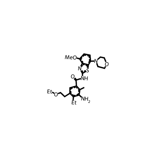 CCOCCc1cc(C(=O)Nc2nc3c(OC)ccc(N4CCOCC4)c3s2)c(C)c(N)c1CC